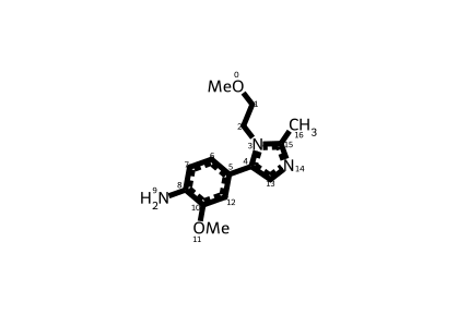 COCCn1c(-c2ccc(N)c(OC)c2)cnc1C